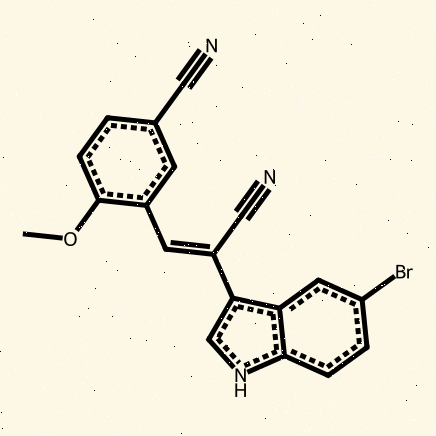 COc1ccc(C#N)cc1C=C(C#N)c1c[nH]c2ccc(Br)cc12